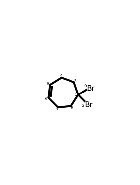 BrC1(Br)CCC=CCC1